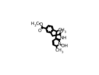 COC(=O)c1ccc2c(c1)CC1(C(=O)NC3=C1C=CC(C)N3O)C2C